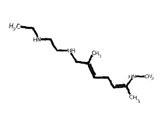 CCNCCNC/C(C)=C/C/C=C(/C)NC